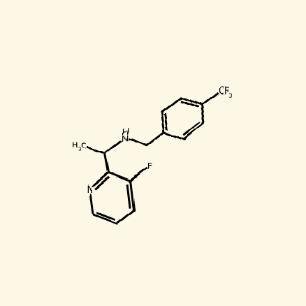 CC(NCc1ccc(C(F)(F)F)cc1)c1ncccc1F